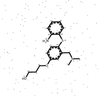 CN(C)Cc1cc(OCCCO)ccc1Sc1ccccc1N